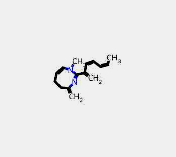 C=C1CC/C=C\N(C)/C(C(=C)/C=C\C=C/C)=N\1